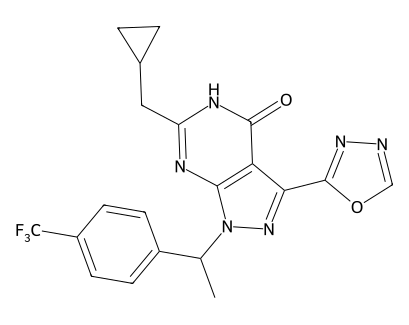 CC(c1ccc(C(F)(F)F)cc1)n1nc(-c2nnco2)c2c(=O)[nH]c(CC3CC3)nc21